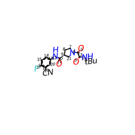 CC(C)(C)NC(=O)C(=O)N1CC[C@H](C(=O)Nc2ccc(F)c(C#N)c2)C1